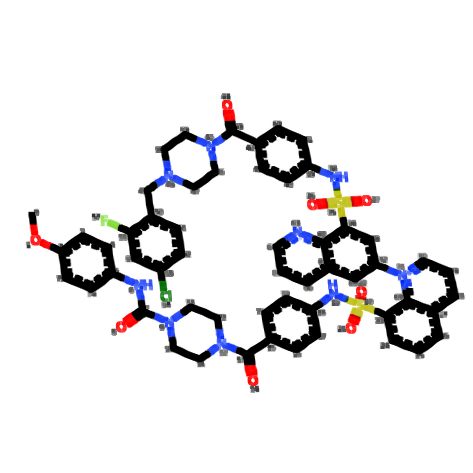 COc1ccc(NC(=O)N2CCN(C(=O)c3ccc(NS(=O)(=O)c4cccc5ccc[n+](-c6cc(S(=O)(=O)Nc7ccc(C(=O)N8CCN(Cc9ccc(Cl)cc9F)CC8)cc7)c7ncccc7c6)c45)cc3)CC2)cc1